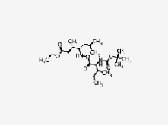 CCOC(=O)C[C@H](O)[C@H](CC(C)C)NOC(=O)[C@@H](NC(=O)OC(C)(C)C)[C@@H](C)CC